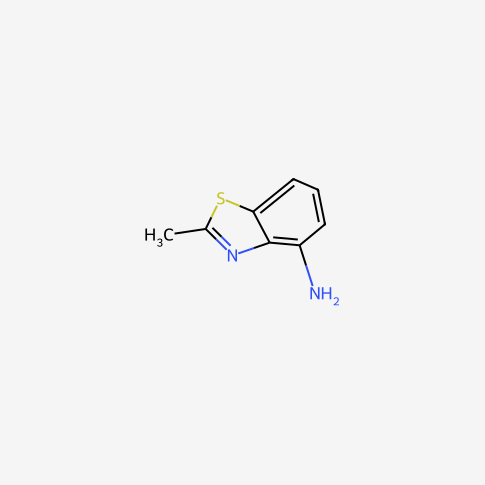 Cc1nc2c(N)cccc2s1